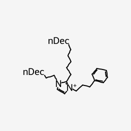 CCCCCCCCCCCCCCCc1n(CCCCCCCCCCCC)cc[n+]1CCCc1ccccc1